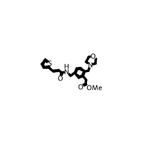 COC(=O)Cc1cc(CNC(=O)/C=C/c2cccs2)ccc1CN1CCOCC1